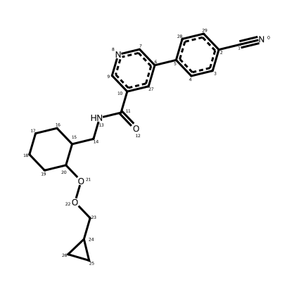 N#Cc1ccc(-c2cncc(C(=O)NCC3CCCCC3OOCC3CC3)c2)cc1